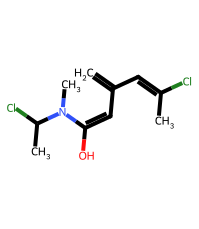 C=C(/C=C(\C)Cl)/C=C(/O)N(C)C(C)Cl